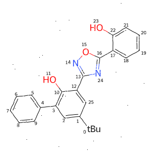 CC(C)(C)c1cc(-c2ccccc2)c(O)c(-c2noc(-c3ccccc3O)n2)c1